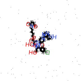 O=C(O)/C(=C\NC1(C(=O)NC(CCO)c2ccc(Cl)cc2)CCN(c2ncnc3[nH]ccc23)CC1)C(=O)OCCCCCN1C(=O)C=CC1=O